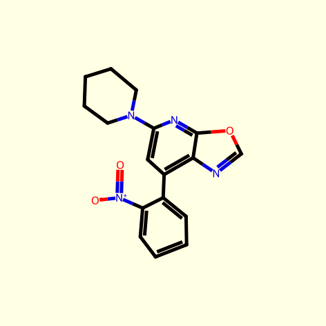 O=[N+]([O-])c1ccccc1-c1cc(N2CCCCC2)nc2ocnc12